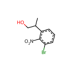 C[C](CO)c1cccc(Br)c1[N+](=O)[O-]